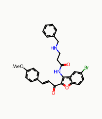 COc1ccc(C=CC(=O)c2oc3ccc(Br)cc3c2NC(=O)CCNCc2ccccc2)cc1